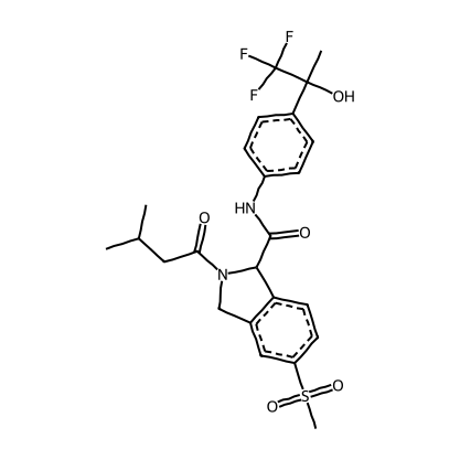 CC(C)CC(=O)N1Cc2cc(S(C)(=O)=O)ccc2C1C(=O)Nc1ccc(C(C)(O)C(F)(F)F)cc1